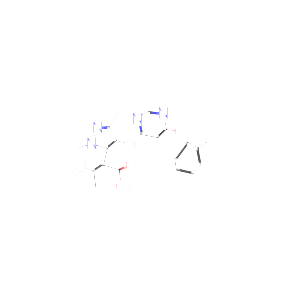 CO/C(C)=C(/C(=O)O)c1c(Oc2cc(Oc3ccccc3F)ncn2)c(C)nn1C